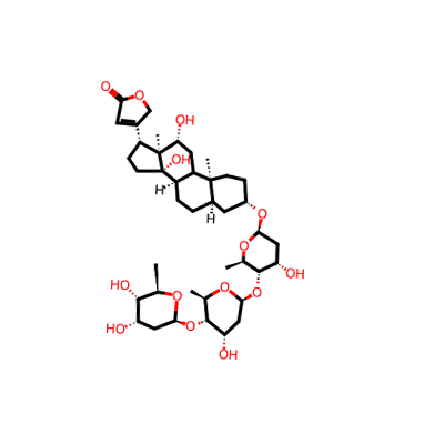 C[C@H]1O[C@@H](O[C@H]2[C@@H](O)C[C@H](O[C@H]3[C@@H](O)C[C@H](O[C@H]4CC[C@]5(C)C6C[C@@H](O)[C@]7(C)[C@@H](C8=CC(=O)OC8)CC[C@]7(O)[C@@H]6CC[C@@H]5C4)O[C@@H]3C)O[C@@H]2C)C[C@H](O)[C@@H]1O